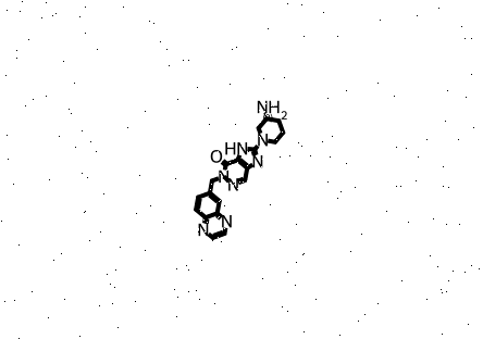 N[C@@H]1CCCN(c2nc3cnn(Cc4ccc5nccnc5c4)c(=O)c3[nH]2)C1